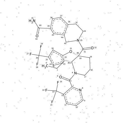 CCC[C@H]1N(C(=O)c2ncccc2C(F)(F)F)CCC[C@]1(Oc1csc(C(F)(F)F)c1)C(=O)N1CCc2ccc(C(N)=O)cc2C1